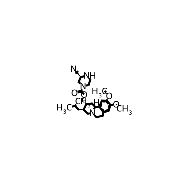 COc1cc2c(cc1OC)[C@H]1C[C@@H](COC(=O)N3CCN[C@H](C#N)C3)[C@H](CC(C)C)CN1CC2